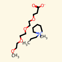 CCC[N+]1(C)CCCCC1.COCCOCCOCCOCCC(=O)[O-]